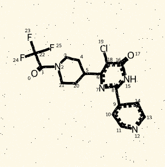 O=C(N1CCC(c2nc(-c3ccncc3)[nH]c(=O)c2Cl)CC1)C(F)(F)F